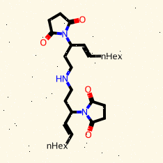 CCCCCCC=CC(CCNCCC(C=CCCCCCC)N1C(=O)CCC1=O)N1C(=O)CCC1=O